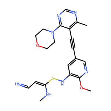 CN/C(=C\C=N)SNc1cc(C#Cc2c(C)ncnc2N2CCOCC2)cnc1OC